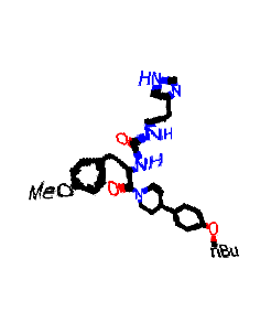 CCCCOC1CCC(C2CCN(C(=O)C(Cc3ccc(OC)cc3)NC(=O)NCCc3c[nH]cn3)CC2)CC1